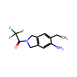 CCc1cc2c(cc1N)CN(C(=O)C(F)(F)F)C2